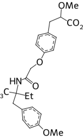 CCC(C)(Cc1ccc(OC)cc1)NC(=O)COc1ccc(CC(OC)C(=O)O)cc1